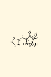 C[C@]1(C(=O)[C@H](CC2CCCC2)NC(=O)O)CO1